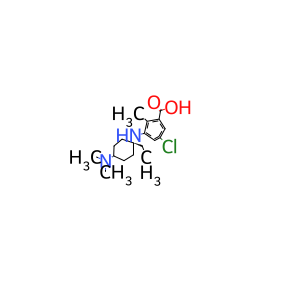 CC[C@]1(Nc2cc(Cl)cc(C(=O)O)c2C)CC[C@@H](N(C)C)CC1